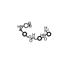 Nc1ccccc1NC(=O)c1ccc(CNC(=O)OCc2ccc(C3C[C@@H]3NC3CCS(=O)(=O)CC3)cc2)cc1